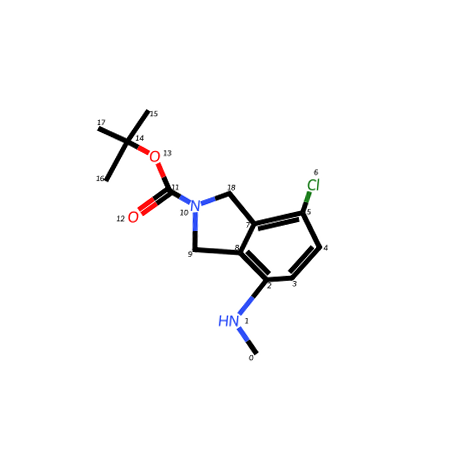 CNc1ccc(Cl)c2c1CN(C(=O)OC(C)(C)C)C2